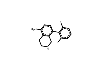 Cc1ccc(-c2c(F)cccc2F)c2c1CCNC2